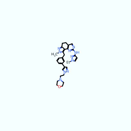 CCn1ccc(Nc2ncc3c(n2)-c2c(nn(C)c2Cc2cccc(-c4cnn(CCN5CCOCC5)c4)c2)CC3)n1